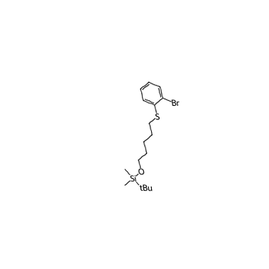 CC(C)(C)[Si](C)(C)OCCCCCSc1ccccc1Br